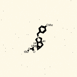 COc1ccc(CN2C[C@H]3CC4C[C@]4(NC(=O)OC(C)(C)C)[C@H]3C2)cc1